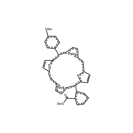 COC(=O)c1ccccc1-c1c2nc(cc3ccc([nH]3)c(-c3ccc(OC)cc3)c3nc(cc4ccc1[nH]4)C=C3)C=C2